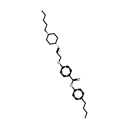 CCCCC[C@H]1CC[C@H](/C=C/COc2ccc(C(=O)Oc3ccc(CCCC)cc3)cc2)CC1